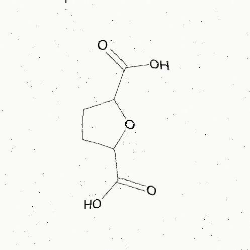 O=C(O)C1CCC(C(=O)O)O1